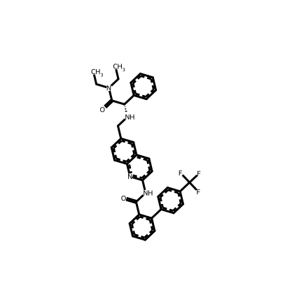 CCN(CC)C(=O)[C@@H](NCc1ccc2nc(NC(=O)c3ccccc3-c3ccc(C(F)(F)F)cc3)ccc2c1)c1ccccc1